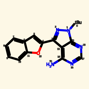 CC(C)(C)n1nc(-c2cc3ccccc3o2)c2c(N)ncnc21